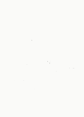 C=C1C[C@@H](C(=O)O)N(C(=O)O)C1